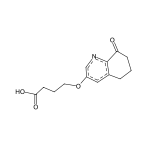 O=C(O)CCCOc1cnc2c(c1)CCCC2=O